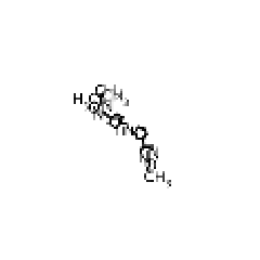 CCOc1ncc(-c2cccc(NCC34CCC(c5noc(C(C)(C)C)n5)(CC3)C4)c2)cn1